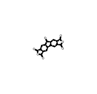 O=c1oc(=O)c2cc3c(cc12)c(=O)c1cc2c(=O)oc(=O)c2cc13